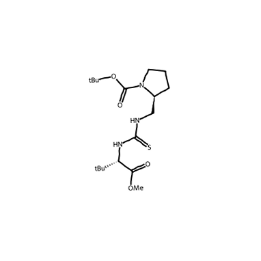 COC(=O)[C@@H](NC(=S)NC[C@@H]1CCCN1C(=O)OC(C)(C)C)C(C)(C)C